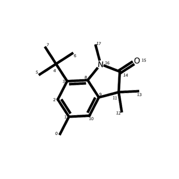 Cc1cc(C(C)(C)C)c2c(c1)C(C)(C)C(=O)N2C